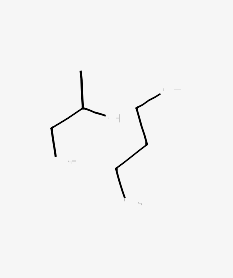 CCCCCCCCCCCC(C)O.CCCCCCCCCCCCCO